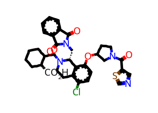 O=C(O)C1CCCCC1C(=O)N1CCc2c(Cl)ccc(OC3CCN(C(=O)c4cncs4)C3)c2[C@H]1CN1C(=O)c2ccccc2C1=O